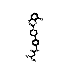 CC(N)CC(=O)Nc1ccc(N2CCN(C(=O)Nc3c(Cl)cccc3Cl)CC2)cc1